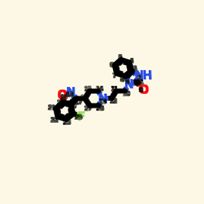 O=c1[nH]c2ccccc2n1CCCN1CCC(c2noc3cccc(F)c23)CC1